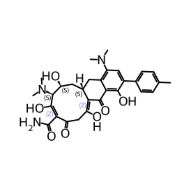 Cc1ccc(-c2cc(N(C)C)c3c(c2O)C(=O)/C2=C(\O)CC(=O)/C(C(N)=O)=C(/O)[C@@H](N(C)C)[C@@H](O)C[C@@H]2C3)cc1